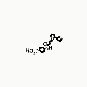 O=C(CCCN1CCC[C@H]1c1cccnc1)N[C@H]1CC[C@H](C(=O)O)CC1